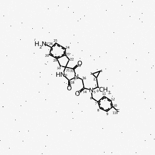 CC(C1CC1)N(Cc1ccc(F)cc1)C(=O)CN1C(=O)NC2(Cc3ccc(N)cc3C2)C1=O